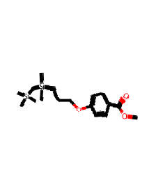 COC(=O)c1ccc(OCCC[Si](C)(C)C[Si](C)(C)C)cc1